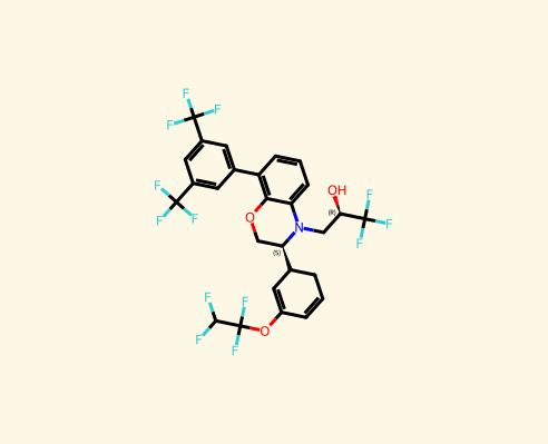 O[C@H](CN1c2cccc(-c3cc(C(F)(F)F)cc(C(F)(F)F)c3)c2OC[C@@H]1C1C=C(OC(F)(F)C(F)F)C=CC1)C(F)(F)F